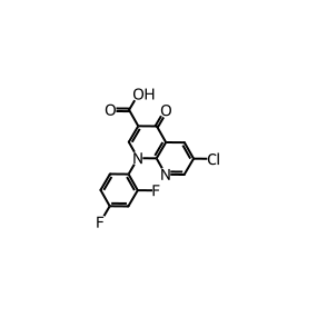 O=C(O)c1cn(-c2ccc(F)cc2F)c2ncc(Cl)cc2c1=O